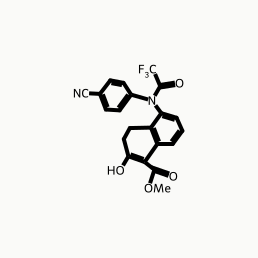 COC(=O)C1=C(O)CCc2c1cccc2N(C(=O)C(F)(F)F)c1ccc(C#N)cc1